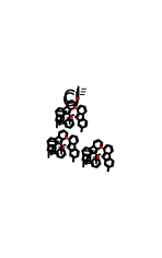 Cc1ccc2c(c1)[C]([Zr][C]1=C3C=CC=CC3c3ccc4c(c31)[P+](C)(c1ccccc1)C4)=C1C=CC=CC12.Cc1ccc2c(c1)[C]([Zr][C]1=C3C=CC=CC3c3ccc4c(c31)[P+](C)(c1ccccc1)C4)=C1C=CC=CC12.Cc1ccc2c(c1)[C]([Zr][C]1=C3C=CC=CC3c3ccc4c(c31)[P+](C)(c1ccccc1)C4)=C1C=CC=CC12.[Cl-].[Cl-].[I-]